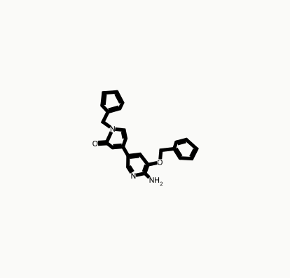 Nc1ncc(-c2ccn(Cc3ccccc3)c(=O)c2)cc1OCc1ccccc1